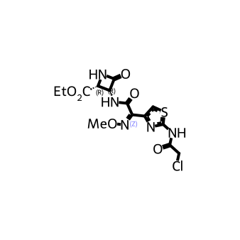 CCOC(=O)[C@@H]1NC(=O)[C@@H]1NC(=O)/C(=N\OC)c1csc(NC(=O)CCl)n1